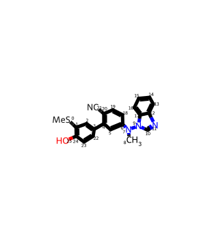 CSc1cc(-c2cc(N(C)n3cnc4ccccc43)ccc2C#N)ccc1O